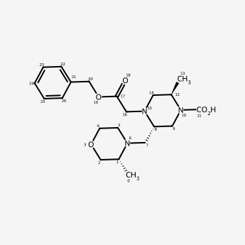 C[C@@H]1COCCN1C[C@H]1CN(C(=O)O)[C@H](C)CN1CC(=O)OCc1ccccc1